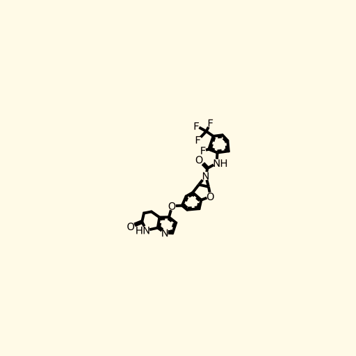 O=C1CCc2c(Oc3ccc4c(c3)C3C(O4)N3C(=O)Nc3cccc(C(F)(F)F)c3F)ccnc2N1